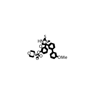 COc1cccc(-c2cccc(C3(c4cccc(OS(=O)(=O)N5CCOCC5)c4)C(=O)NC(=S)N3C)c2)c1